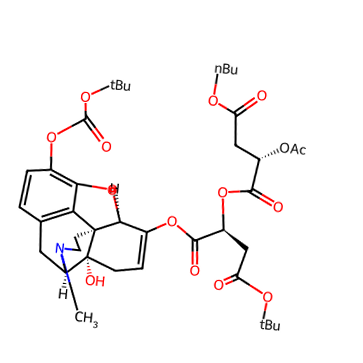 CCCCOC(=O)C[C@H](OC(C)=O)C(=O)O[C@@H](CC(=O)OC(C)(C)C)C(=O)OC1=CC[C@@]2(O)[C@H]3Cc4ccc(OC(=O)OC(C)(C)C)c5c4[C@@]2(CCN3C)[C@H]1O5